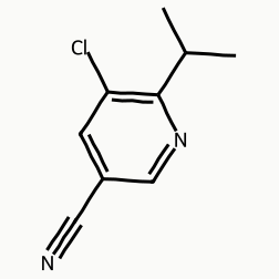 CC(C)c1ncc(C#N)cc1Cl